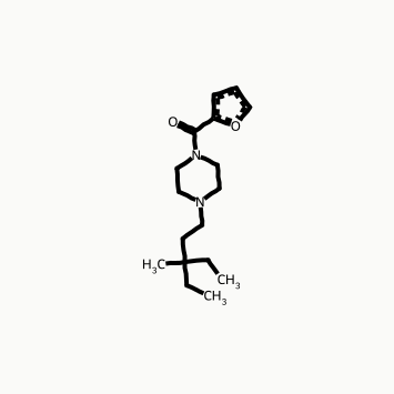 CCC(C)(CC)CCN1CCN(C(=O)c2ccco2)CC1